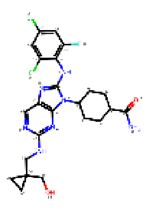 NC(=O)C1CCC(n2c(Nc3c(F)cc(Cl)cc3Cl)nc3cnc(NCC4(CO)CC4)nc32)CC1